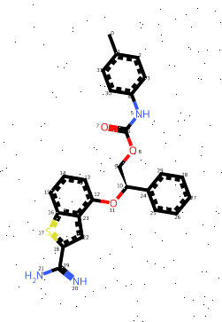 Cc1ccc(NC(=O)OC[C@H](Oc2cccc3sc(C(=N)N)cc23)c2ccccc2)cc1